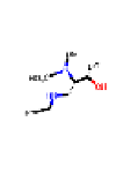 CCC[C@H](O)[C@H](CNCC(C)C)N(C(=O)O)C(C)(C)C